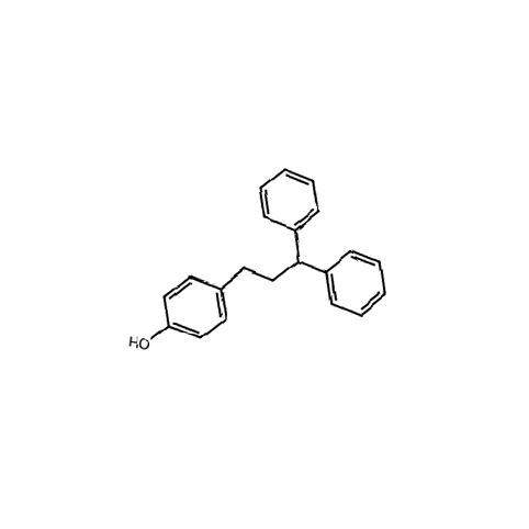 Oc1ccc(CCC(c2ccccc2)c2ccccc2)cc1